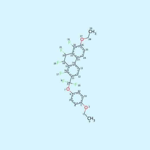 CCOc1ccc(OC(F)(F)c2ccc3c(c2F)C(F)C(F)c2c-3ccc(OCC)c2F)cc1